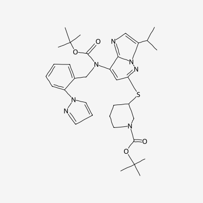 CC(C)c1cnc2c(N(Cc3ccccc3-n3cccn3)C(=O)OC(C)(C)C)cc(SC3CCCN(C(=O)OC(C)(C)C)C3)nn12